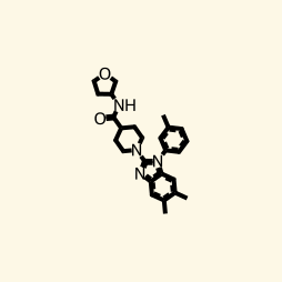 Cc1cccc(-n2c(N3CCC(C(=O)NC4CCOC4)CC3)nc3cc(C)c(C)cc32)c1